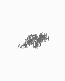 [2H]C([2H])([2H])NC(=O)c1nnc(NC(=O)C2CC2)cc1Nc1ccc2c(c1OC)-c1csc(C(=O)NC3CN(C(C)=O)C3)c1OCC2